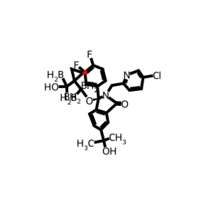 BC(B)(O)C1(C(B)(B)O[C@]2(c3ccc(F)c(F)c3)c3ccc(C(C)(C)O)cc3C(=O)N2Cc2ccc(Cl)cn2)CC1